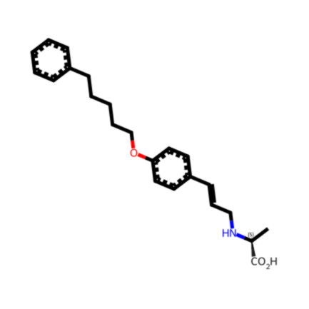 C[C@H](NCC=Cc1ccc(OCCCCCc2ccccc2)cc1)C(=O)O